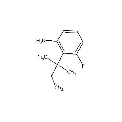 CCC(C)(C)c1c(N)cccc1F